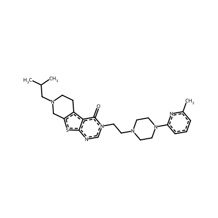 Cc1cccc(N2CCN(CCn3cnc4sc5c(c4c3=O)CCN(CC(C)C)C5)CC2)n1